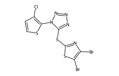 Clc1ccsc1-n1nnnc1Sc1nc(Br)c(Br)s1